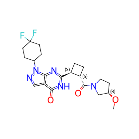 CO[C@@H]1CCN(C(=O)[C@H]2CC[C@@H]2c2nc3c(cnn3C3CCC(F)(F)CC3)c(=O)[nH]2)C1